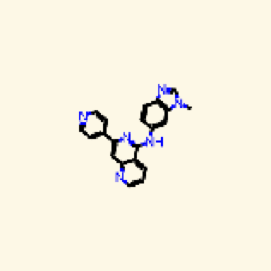 Cn1cnc2ccc(Nc3nc(-c4ccncc4)cc4ncccc34)cc21